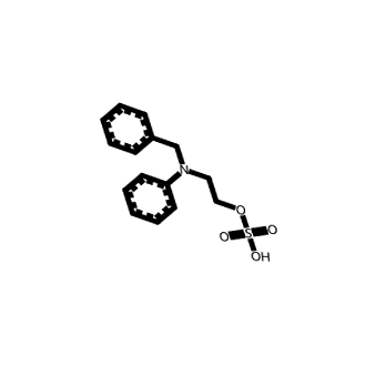 O=S(=O)(O)OCCN(Cc1ccccc1)c1ccccc1